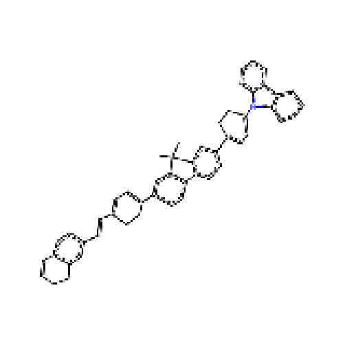 CC1(C)c2cc(C3=CC=C(/C=C/c4ccc5c(c4)CCC=C5)CC3)ccc2-c2ccc(C3=CC=C(n4c5ccccc5c5ccccc54)CC3)cc21